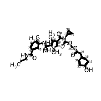 CCCNC(=O)c1ccc(C)c(NC(=N)c2c(C)c(C(=O)N(C(=O)OCOC(=O)Cc3ccc(O)cc3)C3CC3)cn2C)c1